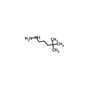 CC(C)(C)CCCNN